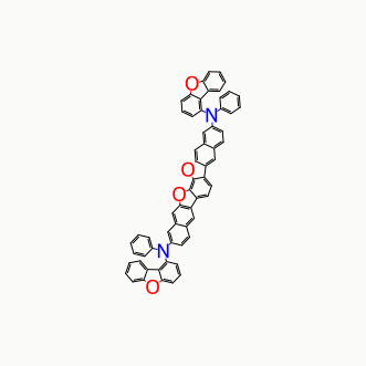 c1ccc(N(c2ccc3cc4c(cc3c2)oc2c4ccc3c4cc5ccc(N(c6ccccc6)c6cccc7oc8ccccc8c67)cc5cc4oc32)c2cccc3oc4ccccc4c23)cc1